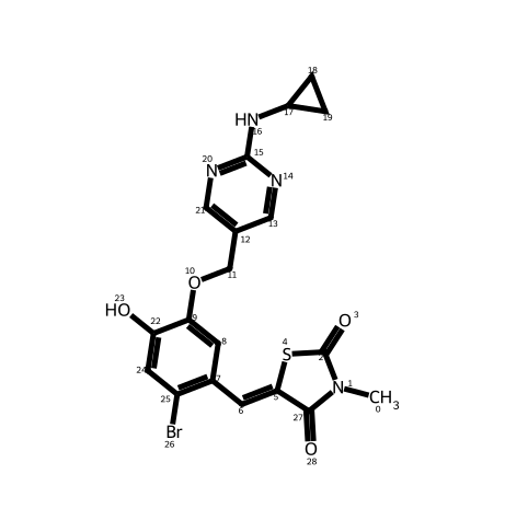 CN1C(=O)S/C(=C\c2cc(OCc3cnc(NC4CC4)nc3)c(O)cc2Br)C1=O